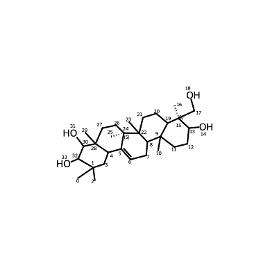 CC1(C)CC2C3=CCC4C5(C)CCC(O)[C@](C)(CO)C5CCC4(C)[C@]3(C)CCC2(C)C(O)C1O